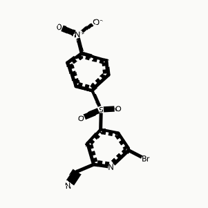 N#Cc1cc(S(=O)(=O)c2ccc([N+](=O)[O-])cc2)cc(Br)n1